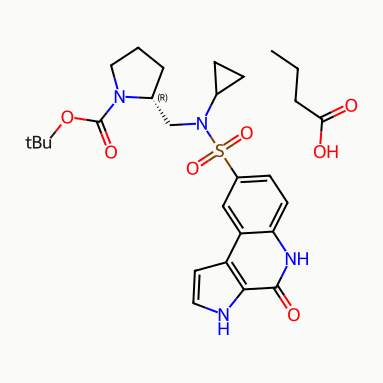 CC(C)(C)OC(=O)N1CCC[C@@H]1CN(C1CC1)S(=O)(=O)c1ccc2[nH]c(=O)c3[nH]ccc3c2c1.CCCC(=O)O